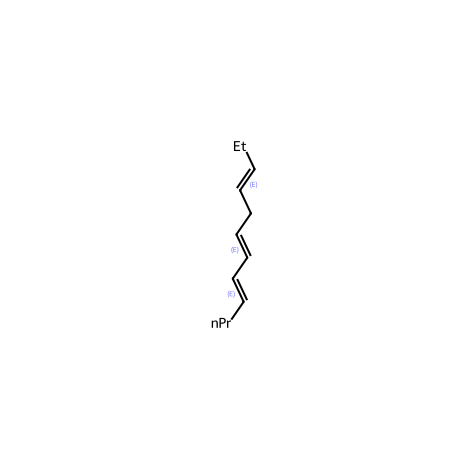 [CH2]C/C=C/C/C=C/C=C/CCC